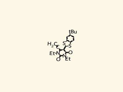 C=C=c1/c(=C2/Sc3ccc(C(C)(C)C)cc3S2)c(=O)n(CC)c(=O)n1CC